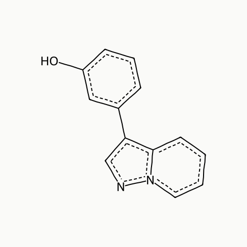 Oc1cccc(-c2cnn3ccccc23)c1